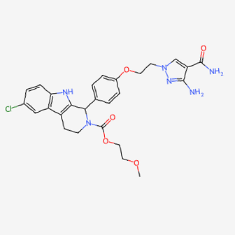 COCCOC(=O)N1CCc2c([nH]c3ccc(Cl)cc23)C1c1ccc(OCCn2cc(C(N)=O)c(N)n2)cc1